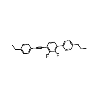 CCCc1ccc(-c2ccc(C#Cc3ccc(CC)cc3)c(F)c2F)cc1